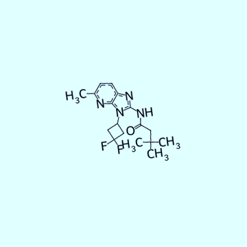 Cc1ccc2nc(NC(=O)CC(C)(C)C)n(C3CC(F)(F)C3)c2n1